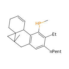 CCCCCc1cc2c(c(PC)c1CC)C1C=CCCC13CC3(C)C2